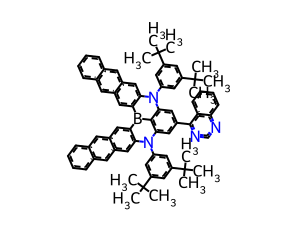 CC(C)(C)c1cc(N2c3cc4cc5ccccc5cc4cc3B3c4cc5cc6ccccc6cc5cc4N(c4cc(C(C)(C)C)cc(C(C)(C)C)c4)c4cc(-c5ncnc6ccccc56)cc2c43)cc(C(C)(C)C)c1